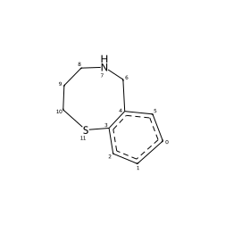 c1ccc2c(c1)CNCCCS2